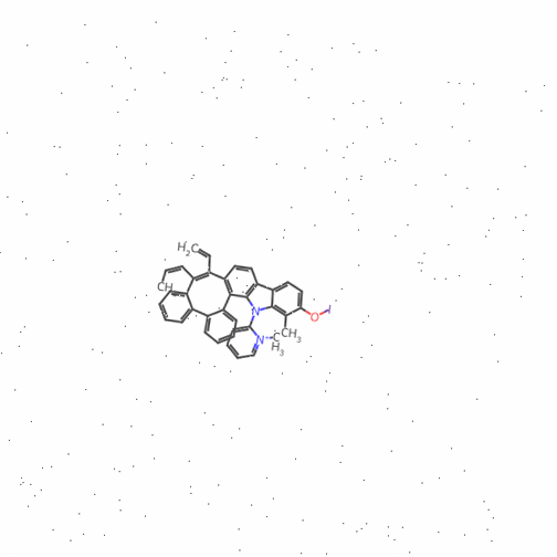 C=C/C1=C(\C=C/C)c2ccccc2-c2ccccc2-c2c1ccc1c3ccc(OI)c(C)c3n(-c3cccc[n+]3C)c21